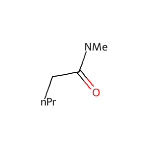 CCCCC(=O)NC